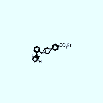 CCOC(=O)c1ccc(N2CCN(Cc3ccccc3C3=C[C@H]4CC[C@]3(C)C4(C)C)CC2)cc1